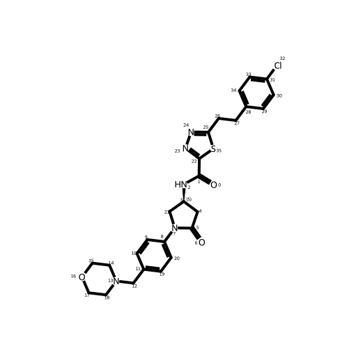 O=C(N[C@H]1CC(=O)N(c2ccc(CN3CCOCC3)cc2)C1)c1nnc(CCc2ccc(Cl)cc2)s1